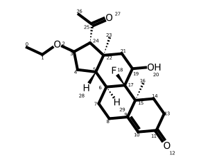 CCOC1C[C@H]2[C@@H]3CCC4=CC(=O)CC[C@]4(C)[C@@]3(F)C(O)C[C@]2(C)[C@H]1C(C)=O